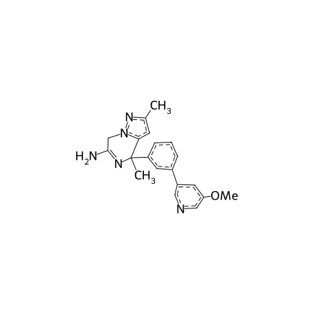 COc1cncc(-c2cccc(C3(C)N=C(N)Cn4nc(C)cc43)c2)c1